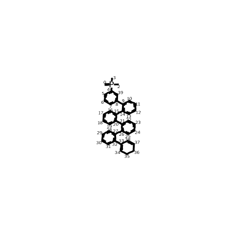 C=P(C)(C)c1cccc(-c2ccccc2-c2ccccc2-c2ccccc2-c2ccccc2C2=CCCC=C2)c1